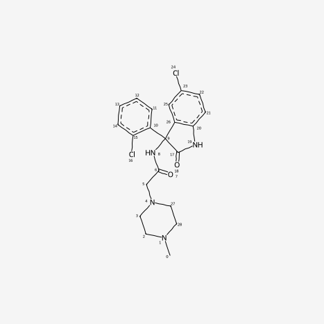 CN1CCN(CC(=O)NC2(c3ccccc3Cl)C(=O)Nc3ccc(Cl)cc32)CC1